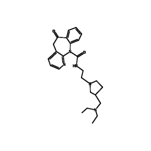 CCN(CC)CC1CCN(CCNC(=O)N2c3ccccc3C(=O)Cc3cccnc32)C1